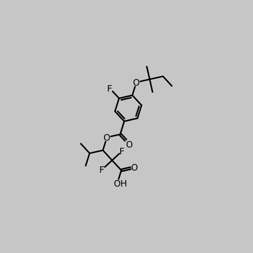 CCC(C)(C)Oc1ccc(C(=O)OC(C(C)C)C(F)(F)C(=O)O)cc1F